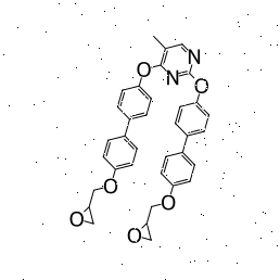 Cc1cnc(Oc2ccc(-c3ccc(OCC4CO4)cc3)cc2)nc1Oc1ccc(-c2ccc(OCC3CO3)cc2)cc1